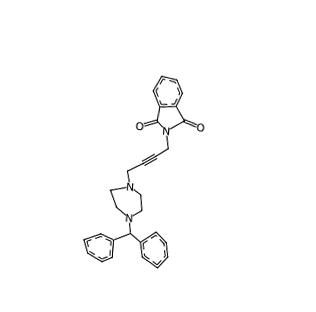 O=C1c2ccccc2C(=O)N1CC#CCN1CCN(C(c2ccccc2)c2ccccc2)CC1